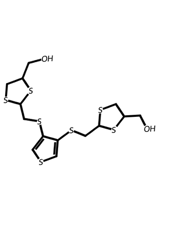 OCC1CSC(CSc2cscc2SCC2SCC(CO)S2)S1